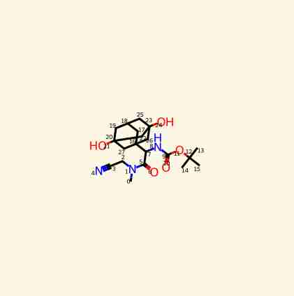 CN(CC#N)C(=O)C(NC(=O)OC(C)(C)C)C12CC3CC(O)(CC(O)(C3)C1)C2